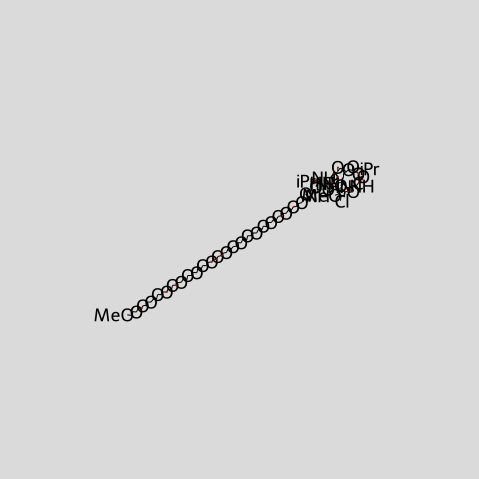 COCCOCCOCCOCCOCCOCCOCCOCCOCCOCCOCCOCCOCCOCCOCCOCCOCCOCCOCCOCCOCCOCCOCCOCCC(=O)NCCCC[C@H](NC(=O)[C@@H](N)C(C)C)C(=O)NCc1ccc([C@H]2O[C@@H]2[C@@H](C)[C@@H]2C/C=C/C(=O)N[C@H](Cc3ccc(OC)c(Cl)c3)C(=O)NCC(C)(C)C(=O)O[C@@H](CC(C)C)C(=O)O2)cc1